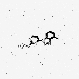 CSc1nccc(-n2nnc3c(I)cccc32)n1